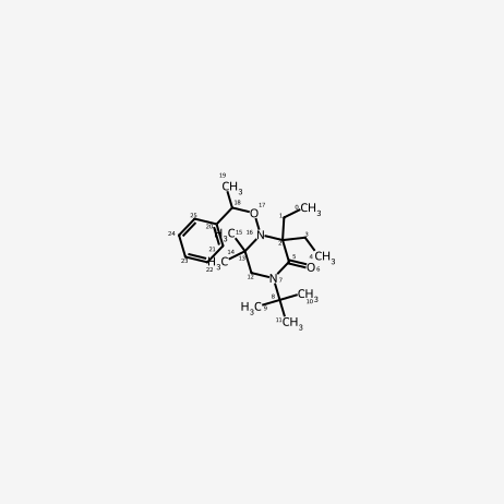 CCC1(CC)C(=O)N(C(C)(C)C)CC(C)(C)N1OC(C)c1ccccc1